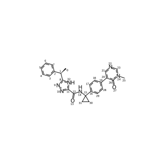 C[C@H](c1ccccc1)c1nnc(C(=O)NC2(c3ccc(-c4cncn(C)c4=O)cc3)CC2)[nH]1